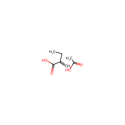 C=C(CC)C(=O)O.CC(=O)O